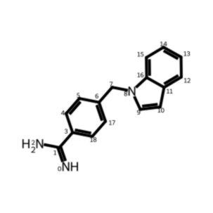 N=C(N)c1ccc(Cn2ccc3ccccc32)cc1